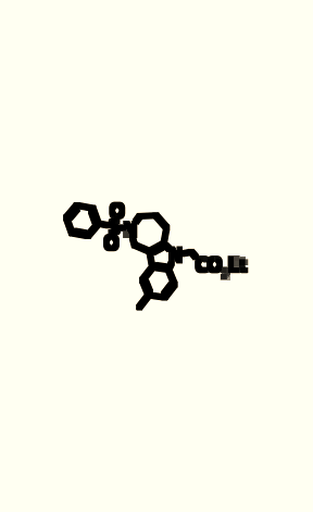 CCOC(=O)Cn1c2c(c3cc(C)ccc31)CN(S(=O)(=O)c1ccccc1)CCC2